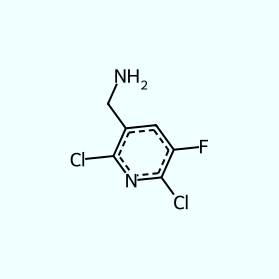 NCc1cc(F)c(Cl)nc1Cl